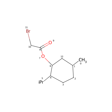 CC1CCC(C(C)C)C(OC(=O)CBr)C1